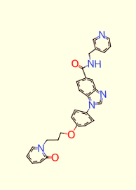 O=C(NCc1cccnc1)c1ccc2c(c1)ncn2-c1ccc(OCCCn2ccccc2=O)cc1